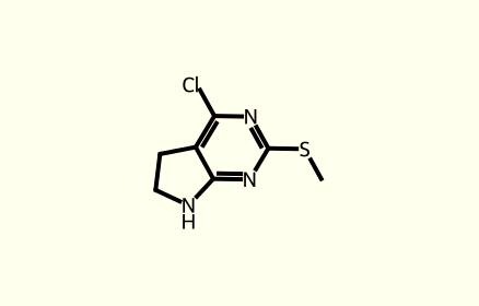 CSc1nc(Cl)c2c(n1)NCC2